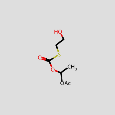 CC(=O)OC(C)OC(=O)SCCO